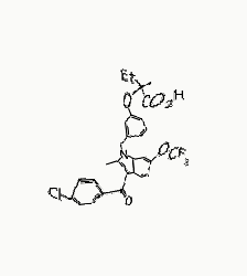 CCC(C)(Oc1cccc(Cn2c(C)c(C(=O)c3ccc(Cl)cc3)c3ccc(OC(F)(F)F)cc32)c1)C(=O)O